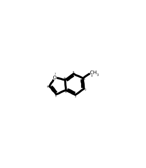 Cc1ccc2ccoc2c1